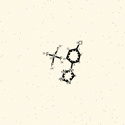 Clc1ccc(-n2cnnn2)cc1.F[B-](F)(F)F